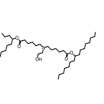 CCCCCCCCC(CCCCCCC)OC(=O)CCCCCN(CCO)CCCCCC(=O)OC(CCC)CCCCC